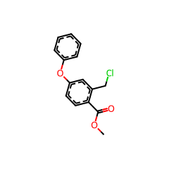 COC(=O)c1ccc(Oc2ccccc2)cc1CCl